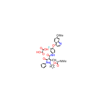 CNCC(=O)O[C@H](C)Cn1c(C)c(C(=O)Nc2ccc(Oc3ccnc4cc(OC)ccc34)c(F)c2)c(=O)n1-c1ccccc1.O=C(O)C(=O)O